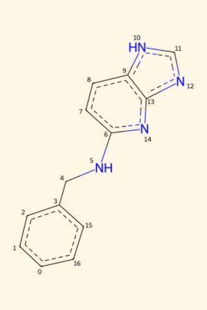 c1ccc(CNc2ccc3[nH]cnc3n2)cc1